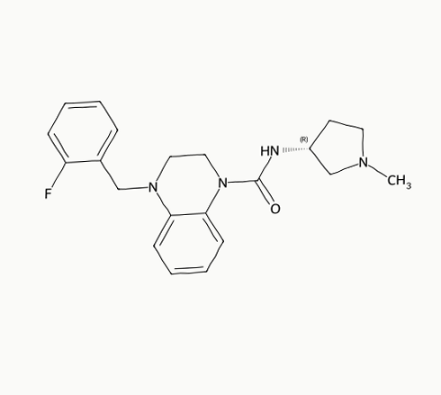 CN1CC[C@@H](NC(=O)N2CCN(Cc3ccccc3F)c3ccccc32)C1